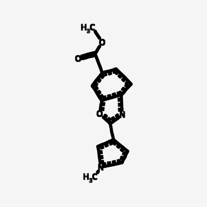 COC(=O)c1ccc2nc(-c3ccn(C)c3)oc2c1